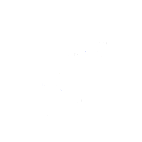 CCCCC(=O)N(CCCSc1nc2ccccc2n1CC(=O)O)c1ccccc1C(=O)OCC